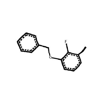 Cc1cccc(OCc2ccccc2)c1F